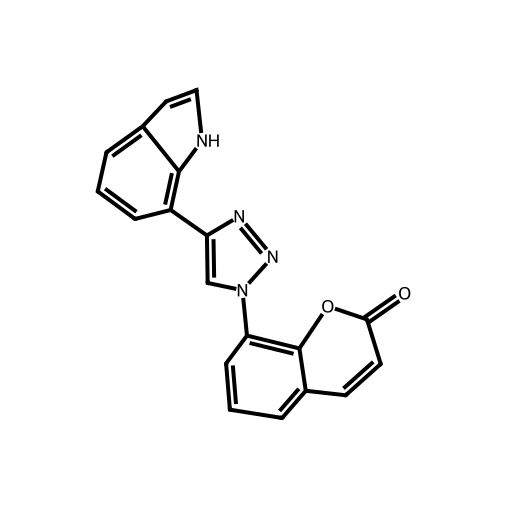 O=c1ccc2cccc(-n3cc(-c4cccc5cc[nH]c45)nn3)c2o1